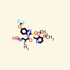 COc1ccnc(C[S+]([O-])c2nc3cc(OC(F)F)ccc3n2C(=O)C(C)/C=N/O)c1OC